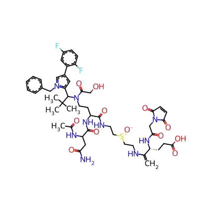 C=C(NCC[S+]([O-])CCNC(=O)C(CCN(C(=O)CO)C(c1cc(-c2cc(F)ccc2F)cn1Cc1ccccc1)C(C)(C)C)NC(=O)C(CC(N)=O)NC(C)=O)[C@@H](CCC(=O)O)NC(=O)CN1C(=O)C=CC1=O